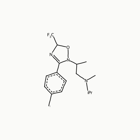 [CH]c1ccc(C2=NC(C(F)(F)F)ON2C(C)CN(C)C(C)C)cc1